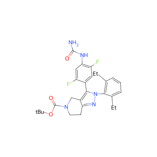 CCc1cccc(CC)c1-n1nc2c(c1-c1cc(F)c(NC(N)=O)cc1F)CN(C(=O)OC(C)(C)C)CC2